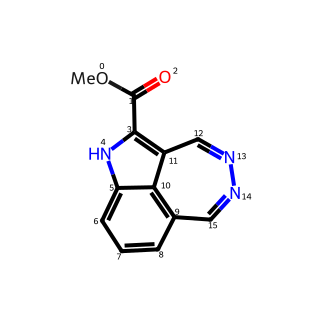 COC(=O)c1[nH]c2cccc3c2c1C=NN=C3